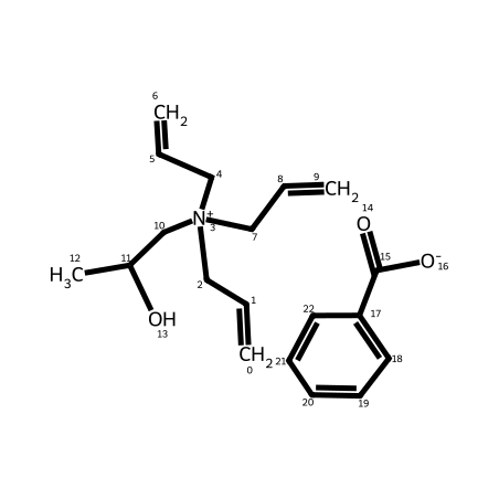 C=CC[N+](CC=C)(CC=C)CC(C)O.O=C([O-])c1ccccc1